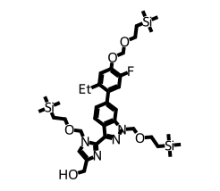 CCc1cc(OCOCC[Si](C)(C)C)c(F)cc1-c1ccc2c(-c3nc(CO)cn3COCC[Si](C)(C)C)nn(COCC[Si](C)(C)C)c2c1